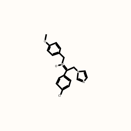 COc1ccc(C[N+]([O-])=C(Cn2ccnc2)c2ccc(Cl)cc2)cc1